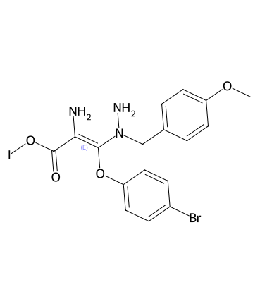 COc1ccc(CN(N)/C(Oc2ccc(Br)cc2)=C(\N)C(=O)OI)cc1